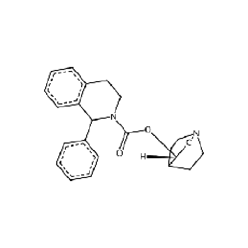 O=C(O[C@@H]1CN2CCC1CC2)N1CCc2ccccc2C1c1ccccc1